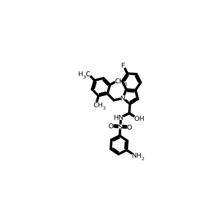 Cc1cc(C)c(Cn2c(C(O)NS(=O)(=O)c3cccc(N)c3)cc3ccc(F)cc32)c(C)c1